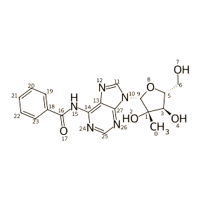 C[C@]1(O)[C@H](O)[C@@H](CO)O[C@H]1n1cnc2c(NC(=O)c3ccccc3)ncnc21